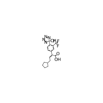 CC1(c2ccc(C(=CCC3CCCC3)C(=O)O)cc2C(F)(F)F)N=NN=N1